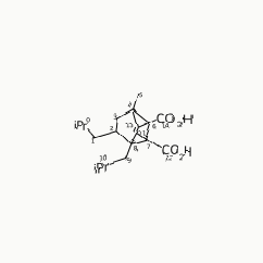 CC(C)CC1CC2(C)CCC1(CC(C)C)C(C(=O)O)=C2C(=O)O